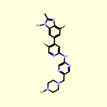 CCN1CCN(Cc2cnc(Nc3cc(-c4cc(F)c5nc(C)n(C(C)C)c5c4)c(F)cn3)cn2)CC1